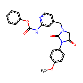 O=C(Nc1cc(CN2CC(=O)N(c3ccc(OC(F)(F)F)cc3)C2=O)ccn1)Oc1ccccc1